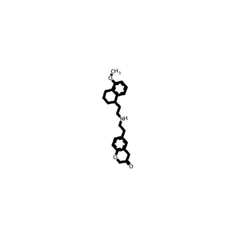 COc1cccc2c1CCCC2CCNCCc1ccc2c(c1)CC(=O)CO2